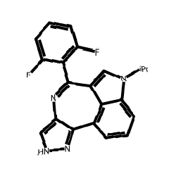 CC(C)n1cc2c3c(cccc31)-c1n[nH]cc1N=C2c1c(F)cccc1F